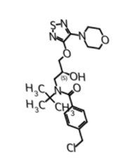 CC(C)(C)N(C[C@H](O)COc1nsnc1N1CCOCC1)C(=O)c1ccc(CCl)cc1